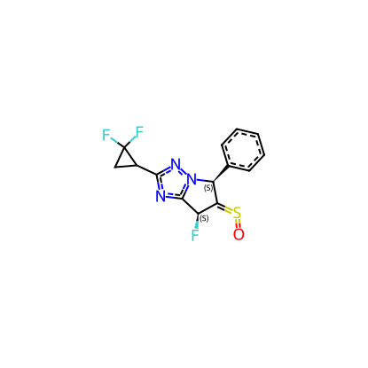 O=S=C1[C@@H](F)c2nc(C3CC3(F)F)nn2[C@H]1c1ccccc1